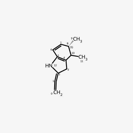 C=C=C1CC2=C(C=C[C@H](C)C2C)N1